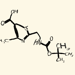 Cc1nc(CNC(=O)OC(C)(C)C)sc1C(=O)O